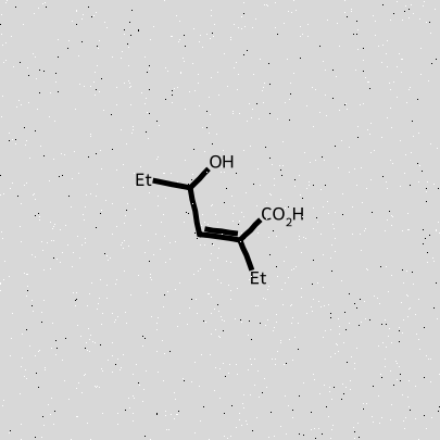 CCC(=CC(O)CC)C(=O)O